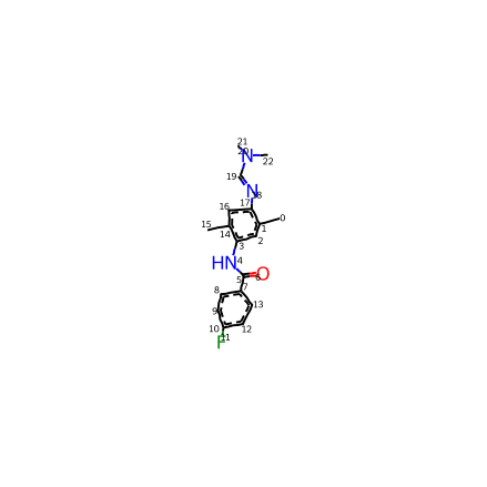 Cc1cc(NC(=O)c2ccc(F)cc2)c(C)cc1N=CN(C)C